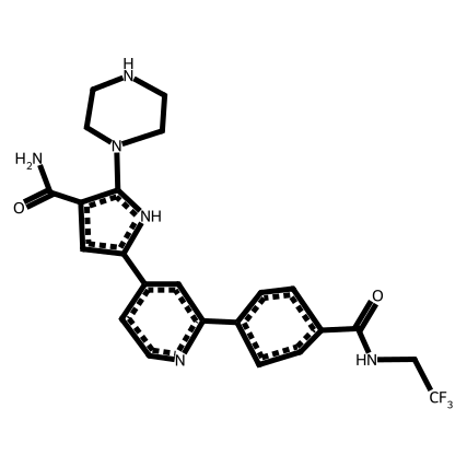 NC(=O)c1cc(-c2ccnc(-c3ccc(C(=O)NCC(F)(F)F)cc3)c2)[nH]c1N1CCNCC1